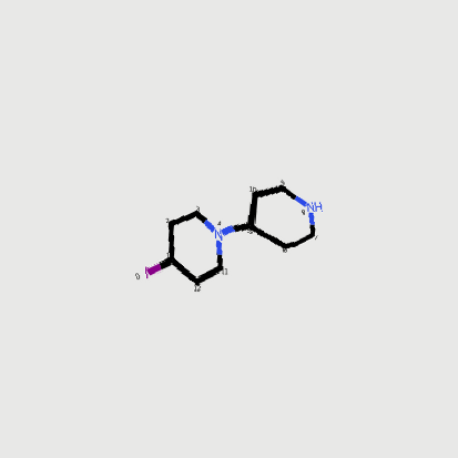 IC1CCN(C2CCNCC2)CC1